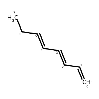 [CH]=C/C=C/C=C/CC